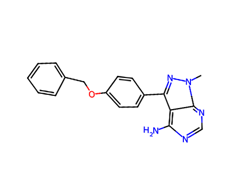 Cn1nc(-c2ccc(OCc3ccccc3)cc2)c2c(N)ncnc21